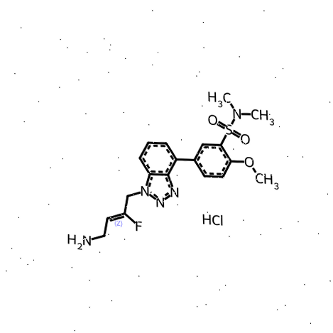 COc1ccc(-c2cccc3c2nnn3C/C(F)=C/CN)cc1S(=O)(=O)N(C)C.Cl